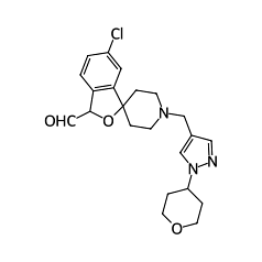 O=CC1OC2(CCN(Cc3cnn(C4CCOCC4)c3)CC2)c2cc(Cl)ccc21